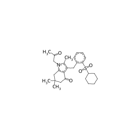 CC(=O)Cn1c(C)c(Cc2ccccc2S(=O)(=O)C2CCCCC2)c2c1CC(C)(C)CC2=O